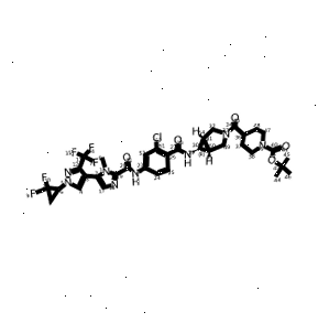 Cn1c(-c2cn(C3CC3(F)F)nc2C(F)(F)F)cnc1C(=O)Nc1ccc(C(=O)N[C@@H]2[C@@H]3CN(C(=O)C4CCN(C(=O)OC(C)(C)C)CC4)C[C@@H]32)c(Cl)c1